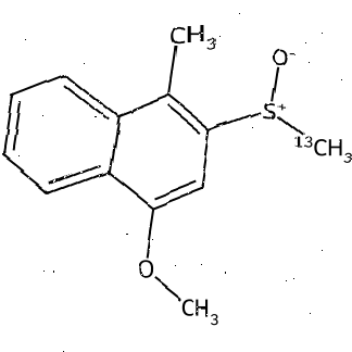 COc1cc([S+]([13CH3])[O-])c(C)c2ccccc12